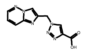 O=C(O)c1cn(Cc2cn3ncccc3n2)nn1